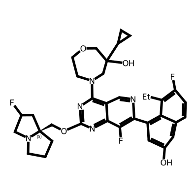 CCc1c(F)ccc2cc(O)cc(-c3ncc4c(N5CCOCC(O)(C6CC6)C5)nc(OC[C@@]56CCCN5CC(F)C6)nc4c3F)c12